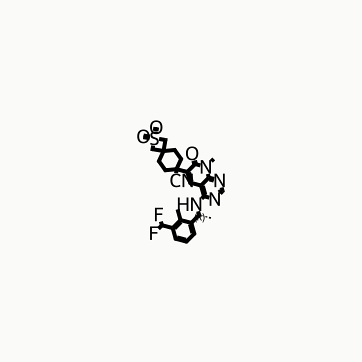 Cc1c(C(F)F)cccc1[C@@H](C)Nc1ncnc2c1cc(C1(C#N)CCC3(CC1)CS(=O)(=O)C3)c(=O)n2C